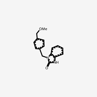 COCc1ccc(Cn2c(=O)[nH]c3ccccc32)cc1